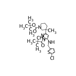 CC(C)(C)OC(=O)N1CCCC(C)(c2cc(NCc3ccc(Cl)s3)n(C(=O)C(C)(C)C)n2)C1